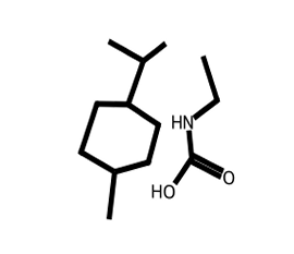 CC1CCC(C(C)C)CC1.CCNC(=O)O